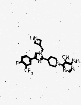 N#Cc1c(N)ncnc1N1CCC(c2nc(-c3ccc(F)c(C(F)(F)F)c3)cn2CC2CNC2)CC1